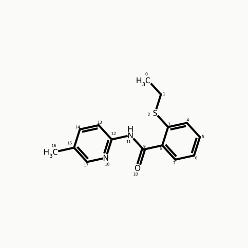 CCSc1ccccc1C(=O)Nc1ccc(C)cn1